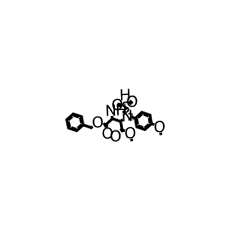 COC(=O)C(C(N)C(=O)OCc1ccccc1)N(c1ccc(OC)cc1)[SH](=O)=O